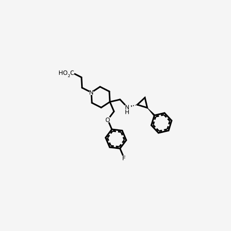 O=C(O)CCN1CCC(CN[C@@H]2C[C@H]2c2ccccc2)(COc2ccc(F)cc2)CC1